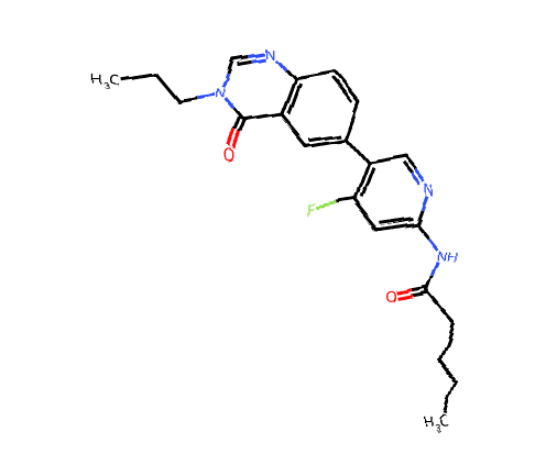 CCCCC(=O)Nc1cc(F)c(-c2ccc3ncn(CCC)c(=O)c3c2)cn1